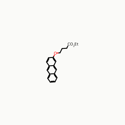 CCOC(=O)CCCOc1ccc2cc3ccccc3cc2c1